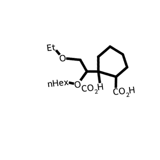 CCCCCCOC(COCC)C1(C(=O)O)CCCCC1C(=O)O